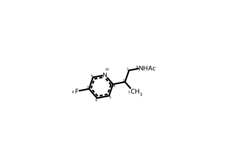 CC(=O)NCC(C)c1ccc(F)cn1